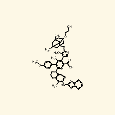 COc1ccc(-c2c(N3CCCc4c3nnc(Nc3nc5ccccc5s3)c4C)nc(C(=O)O)c(-c3cnn(CC45CC6(C)CC(C)(C4)CC(OCCO)(C6)C5)c3C)c2C)cc1